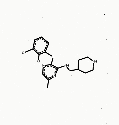 Cc1cnc(Sc2cccc(Cl)c2Cl)c(NCC2CCNCC2)n1